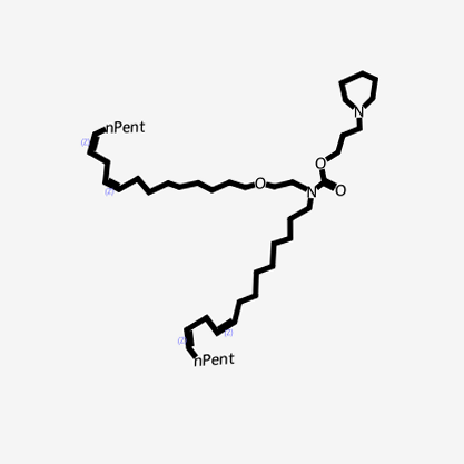 CCCCC/C=C\C/C=C\CCCCCCCCOCCN(CCCCCCCC/C=C\C/C=C\CCCCC)C(=O)OCCCN1CCCCC1